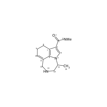 CNC(=O)c1cn2c3c1CCC=C3CNCC2C